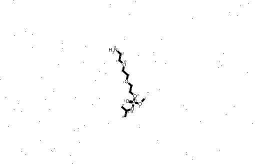 COP(=O)(OCCOCCOCCN)OC(C)C